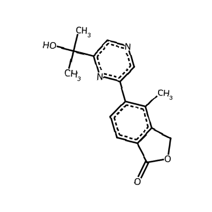 Cc1c(-c2cncc(C(C)(C)O)n2)ccc2c1COC2=O